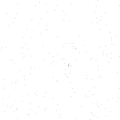 Cc1ccc2c(oc3nc(C(C)C)ccc32)c1-c1ncccc1-c1cccc(C2CCCC2)c1